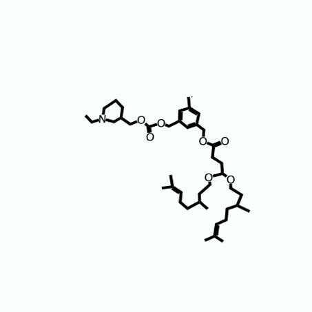 [CH2]c1cc(COC(=O)CCC(OCCC(C)CCC=C(C)C)OCCC(C)CCC=C(C)C)cc(COC(=O)OCC2CCCN(CC)C2)c1